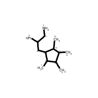 CCCC(CN)CC1C(C)C(C)C(C)C1C